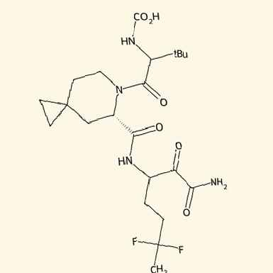 CC(F)(F)CCC(NC(=O)[C@@H]1CC2(CCN1C(=O)C(NC(=O)O)C(C)(C)C)CC2)C(=O)C(N)=O